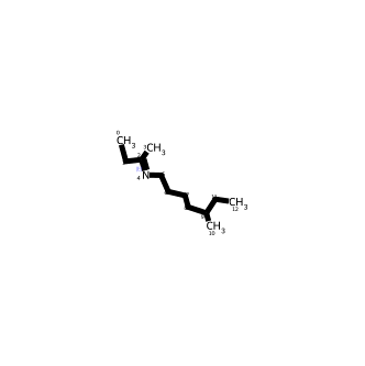 CC/C(C)=N/CCCCC(C)CC